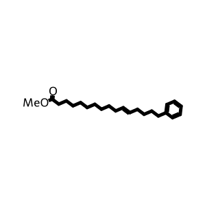 COC(=O)CCCCCCCCCC=CCCCCc1ccccc1